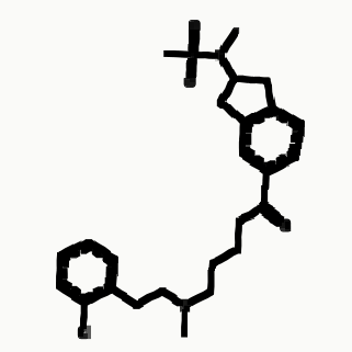 CN(CCCCC(=O)c1ccc2c(c1)CC(N(C)S(C)(=O)=O)C2)CCc1ccccc1Cl